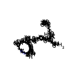 COc1cc2cc(c1Cl)N(C)C(=O)C[C@H](OC(=O)[C@H](C)N(C)C(=O)CCN(C)C(=O)OCc1ccc(NC(=O)[C@H](CCCNC(N)=O)NC(=O)[C@@H](NC(=O)CCCCC(=O)ON3C(=O)CCC3=O)C(C)C)cc1)[C@]1(C)O[C@H]1[C@H](C)[C@@H]1C[C@@](O)(NC(=O)O1)[C@H](OC)/C=C/C=C(\C)C2